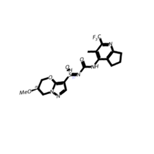 CO[C@H]1COc2c(/[SH](=O)=N/C(=O)Nc3c(C)c(C(F)(F)F)nc4c3CCC4)cnn2C1